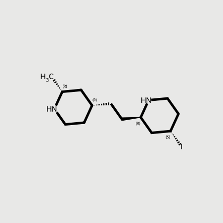 C[C@@H]1C[C@H](CC[C@@H]2C[C@@H](I)CCN2)CCN1